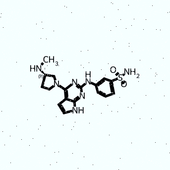 CN[C@@H]1CCN(c2nc(Nc3cccc(S(N)(=O)=O)c3)nc3[nH]ccc23)C1